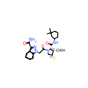 CO[C@H]1[C@@H](C(=O)NC2CCCC(C)(C)C2)N(C(=O)Cn2nc(C(N)=O)c3ccccc32)C[C@@H]1F